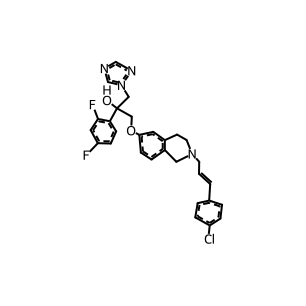 OC(COc1ccc2c(c1)CCN(C/C=C/c1ccc(Cl)cc1)C2)(Cn1cncn1)c1ccc(F)cc1F